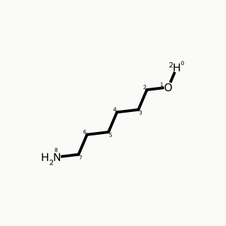 [2H]OCCCCCCN